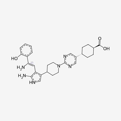 N/C(=C\c1c(C2CCN(c3ncc([C@H]4CC[C@H](C(=O)O)CC4)cn3)CC2)c[nH]c1N)c1ccccc1O